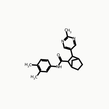 Cc1ncc(C2C3CCC(C3)C2C(=O)Nc2ccc(C)c(C)c2)cn1